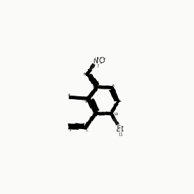 C=CC1=C(C)/C(=C/N=O)C=CC1CC